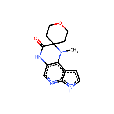 CN1c2c(cnc3[nH]ccc23)NC(=O)C12CCOCC2